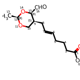 COC(=O)CCCC=CC[C@H]1CO[C@@H](C)O[C@H]1C=O